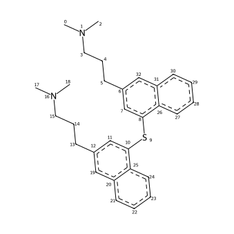 CN(C)CCCc1cc(Sc2cc(CCCN(C)C)cc3ccccc23)c2ccccc2c1